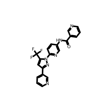 O=C(Nc1ccc(-n2nc(-c3cccnc3)cc2C(F)(F)F)nc1)c1cccnc1